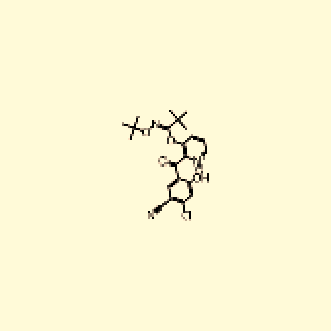 CC(C)(C)O/N=C(\Oc1ccc[n+]([O-])c1C(=O)c1cc(C#N)c(Cl)cc1O)C(C)(C)C